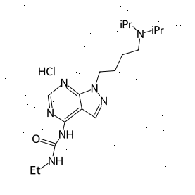 CCNC(=O)Nc1ncnc2c1cnn2CCCCN(C(C)C)C(C)C.Cl